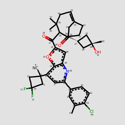 Cc1cc(-c2cc(C3(C#N)CC(F)(F)C3)c3oc(C(=O)C4CCC/C(CC(=O)[C@H]5C[C@@](C)(O)C5)=C/CC4(C)C)cc3n2)ccc1Cl